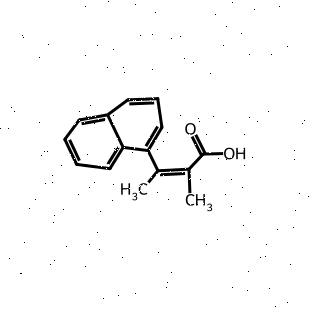 CC(C(=O)O)=C(C)c1cccc2ccccc12